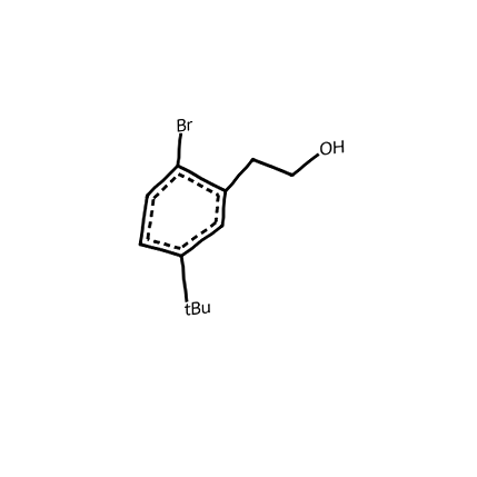 CC(C)(C)c1ccc(Br)c(CCO)c1